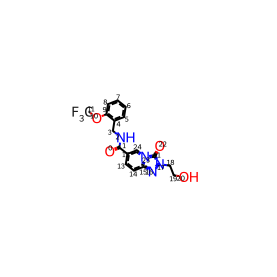 O=C(NCc1ccccc1OC(F)(F)F)c1ccc2nn(CCO)c(=O)n2c1